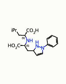 CC(C)C[C@H](N[C@@H](CC1C=CN(c2ccccc2)N1)C(=O)O)C(=O)O